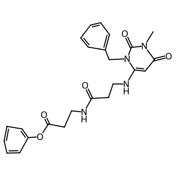 Cn1c(=O)cc(NCCC(=O)NCCC(=O)Oc2ccccc2)n(Cc2ccccc2)c1=O